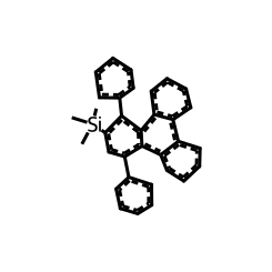 C[Si](C)(C)c1cc(-c2ccccc2)c2c3ccccc3c3ccccc3c2c1-c1ccccc1